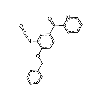 O=C=Nc1cc(C(=O)c2ccccn2)ccc1OCc1ccccc1